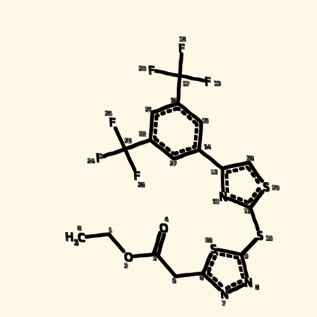 CCOC(=O)Cc1nnc(Sc2nc(-c3cc(C(F)(F)F)cc(C(F)(F)F)c3)cs2)s1